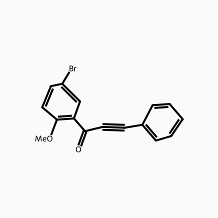 COc1ccc(Br)cc1C(=O)C#Cc1ccccc1